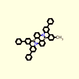 Cc1ccc2c(c1)-c1cc(-c3ccccc3)ccc1N1B2c2cccc3c2-c2c(cccc21)B1c2ccc(-c4ccccc4)cc2-c2cc(-c4ccccc4)ccc2N13